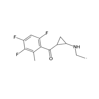 [CH2]CNC1CC1C(=O)c1c(F)cc(F)c(F)c1C